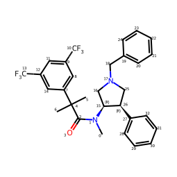 CN(C(=O)C(C)(C)c1cc(C(F)(F)F)cc(C(F)(F)F)c1)[C@H]1CN(Cc2ccccc2)C[C@H]1c1ccccc1